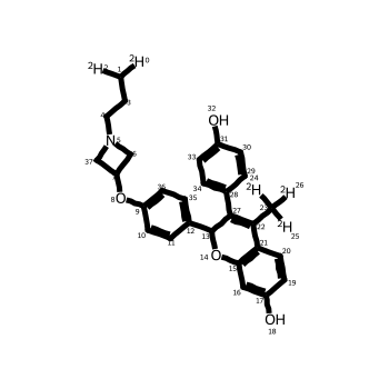 [2H]C([2H])CCN1CC(Oc2ccc(C3Oc4cc(O)ccc4C(C([2H])([2H])[2H])=C3c3ccc(O)cc3)cc2)C1